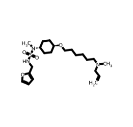 C=CCN(C)CCCCCCO[C@H]1CC[C@H](N(C)S(=O)(=O)NCc2ccco2)CC1